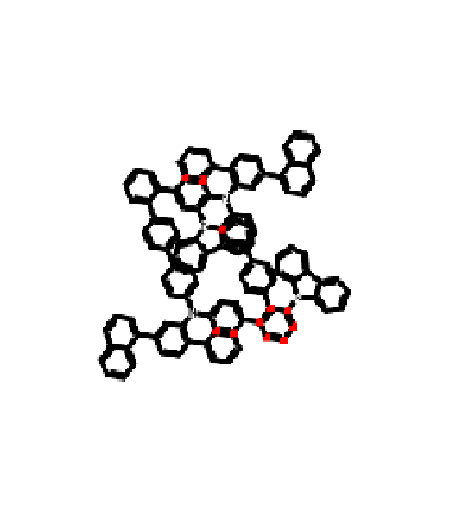 c1ccc(-c2ccc(-c3ccc(N(c4cc(-c5cccc6ccccc56)ccc4-c4ccccc4)c4ccc(-c5ccccc5-c5ccc(-c6ccc(N(c7ccc(-c8cccc(-n9c%10ccccc%10c%10ccccc%109)c8)cc7)c7cc(-c8cccc9ccccc89)ccc7-c7ccccc7)cc6)cc5)cc4-n4c5ccccc5c5ccccc54)cc3)cc2)cc1